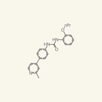 CCCOc1ccccc1NC(=O)Nc1ccc(-c2ccnc(C)c2)cc1